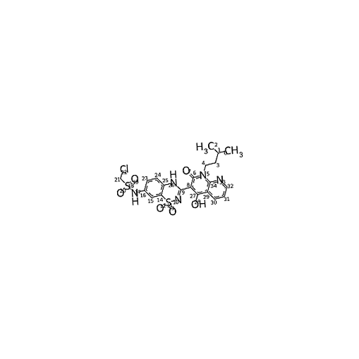 CC(C)CCn1c(=O)c(C2=NS(=O)(=O)c3cc(NS(=O)(=O)CCl)ccc3N2)c(O)c2cccnc21